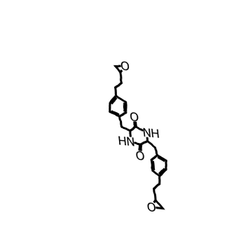 O=C1NC(Cc2ccc(CCC3CO3)cc2)C(=O)NC1Cc1ccc(CCC2CO2)cc1